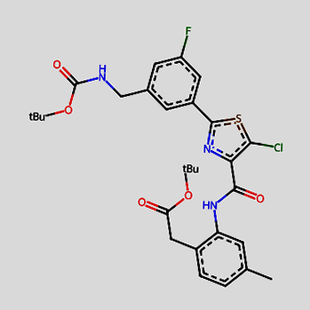 Cc1ccc(CC(=O)OC(C)(C)C)c(NC(=O)c2nc(-c3cc(F)cc(CNC(=O)OC(C)(C)C)c3)sc2Cl)c1